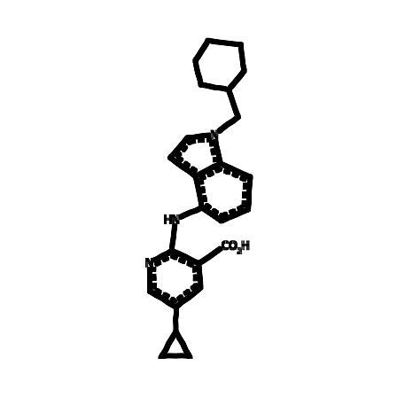 O=C(O)c1cc(C2CC2)cnc1Nc1cccc2c1ccn2CC1CCCCC1